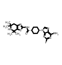 CC1(C)Cc2nc(NC(=O)[C@H]3CC[C@@H](n4cnc5c(N)nc(F)nc54)CC3)sc2C(C)(C)N1